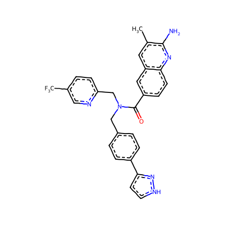 Cc1cc2cc(C(=O)N(Cc3ccc(-c4cc[nH]n4)cc3)Cc3ccc(C(F)(F)F)cn3)ccc2nc1N